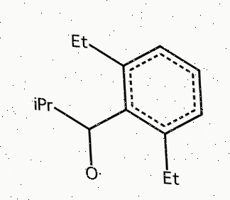 CCc1cccc(CC)c1C([O])C(C)C